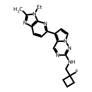 CCn1c(C)nc2ccc(-c3ccn4nc(NCC5(F)CCC5)ncc34)nc21